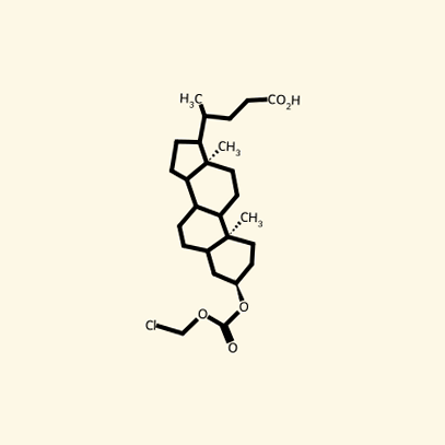 CC(CCC(=O)O)C1CCC2C3CCC4C[C@H](OC(=O)OCCl)CC[C@]4(C)C3CC[C@]12C